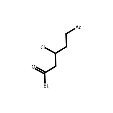 CCC(=O)CC(Cl)CCC(C)=O